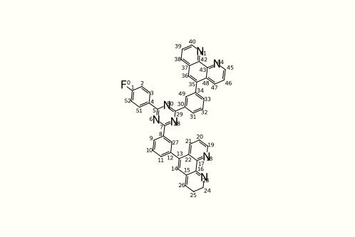 Fc1ccc(-c2nc(-c3cccc(-c4cc5c(c6ncccc46)=NCCC=5)c3)nc(-c3cccc(-c4cc5cccnc5c5ncccc45)c3)n2)cc1